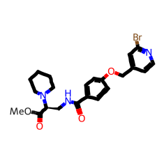 COC(=O)[C@H](CNC(=O)c1ccc(OCc2ccnc(Br)c2)cc1)N1CCCCC1